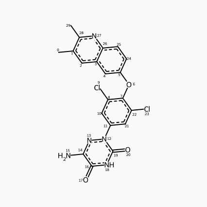 Cc1cc2cc(Oc3c(Cl)cc(-n4nc(N)c(=O)[nH]c4=O)cc3Cl)ccc2nc1C